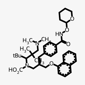 CN(C)CC(C)(C)C(N(CC(=Cc1ccc(C(=O)NOC2CCCCO2)cc1)COc1cccc2ccccc12)C(=O)O)C(C)(C)C